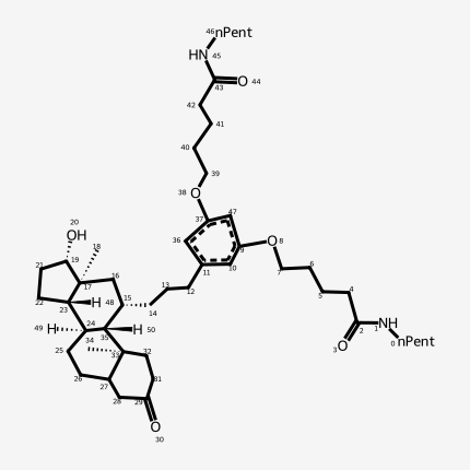 CCCCCNC(=O)CCCCOc1cc(CCC[C@H]2C[C@]3(C)[C@@H](O)CC[C@H]3[C@@H]3CCC4CC(=O)CC[C@]4(C)[C@@H]23)cc(OCCCCC(=O)NCCCCC)c1